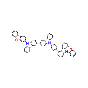 c1ccc2c(c1)Oc1cccc3c4c(-c5ccc(-n6c7ccccc7c7cc(-c8ccc9c(c8)c8ccccc8n9-c8ccc9c(c8)oc8ccccc89)ccc76)cc5)cccc4n-2c13